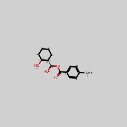 COc1ccc(C(=O)OC(O)[C@H]2CCCC[C@@H]2O)cc1